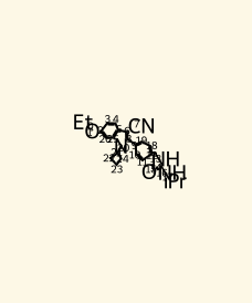 CCOc1ccc2c(C#N)c(-c3ccc(NC(=O)NC(C)C)cc3)n(C3CCC3)c2c1